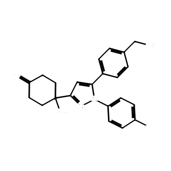 O=C1CCC(O)(c2cc(-c3ccc(CO)cc3)n(-c3ccc(F)cc3)n2)CC1